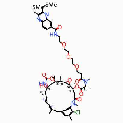 CSCc1nc2ccc(C(=O)NCCOCCOCCOCCC(=O)N(C)[C@H](C)C(=O)O[C@H]3CC(=O)N(C)c4cc(cc(C)c4Cl)C/C(C)=C/C=C/[C@@H](C)[C@@]4(O)C[C@H](OC(=O)N4)[C@@H](C)C4O[C@]43C)cc2nc1CSC